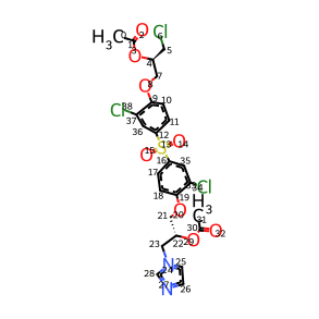 CC(=O)O[C@@H](CCl)COc1ccc(S(=O)(=O)c2ccc(OC[C@@H](Cn3ccnc3)OC(C)=O)c(Cl)c2)cc1Cl